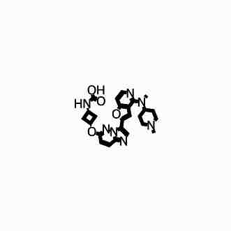 CN1CCC(N(C)c2nccc3oc(-c4cnc5ccc(O[C@H]6C[C@H](NC(=O)O)C6)nn45)cc23)CC1